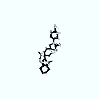 Cn1c2ccccc2nc1[C@]1(N(C)C)CC[C@]2(CC1)CN(c1cnc(C(F)(F)F)nc1)C(=O)N2